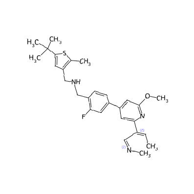 C/C=C(\C=N/C)c1cc(-c2ccc(CNCc3cc(C(C)(C)C)sc3C)c(F)c2)cc(OC)n1